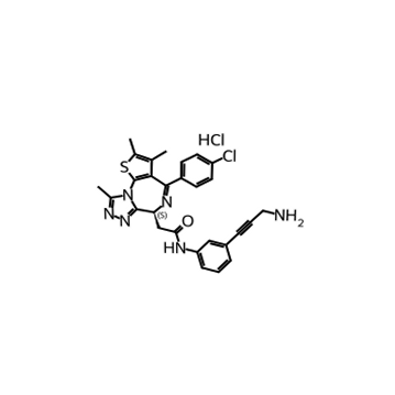 Cc1sc2c(c1C)C(c1ccc(Cl)cc1)=N[C@@H](CC(=O)Nc1cccc(C#CCN)c1)c1nnc(C)n1-2.Cl